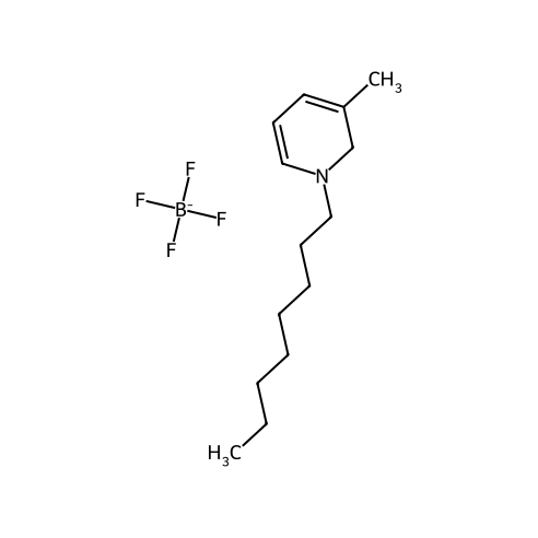 CCCCCCCCN1C=CC=C(C)C1.F[B-](F)(F)F